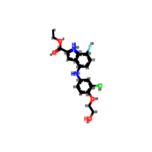 CCOC(=O)c1cc2c(Nc3ccc(OCCO)c(Cl)c3)ccc(F)c2[nH]1